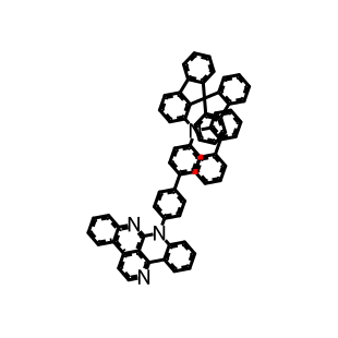 c1ccc(-c2ccccc2N(c2ccc(-c3ccc(N4c5ccccc5-c5nccc6c5c4nc4ccccc46)cc3)cc2)c2cccc3c2C2(c4ccccc4-c4ccccc42)c2ccccc2-3)cc1